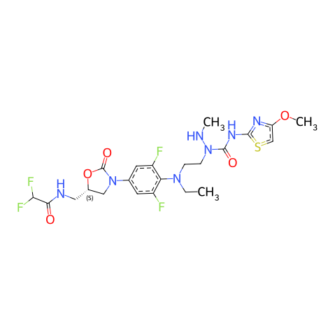 CCN(CCN(NC)C(=O)Nc1nc(OC)cs1)c1c(F)cc(N2C[C@H](CNC(=O)C(F)F)OC2=O)cc1F